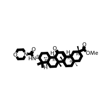 COC(=O)[C@]1(C)CC[C@@]2(C)CC[C@@]3(C)C(=CC(=O)[C@@H]4[C@]5(C)CC[C@@H](NC(=O)N6CCOCC6)C(C)(C)[C@@H]5CC[C@]43C)[C@@H]2C1